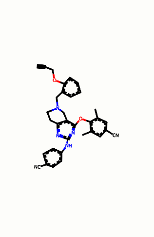 C#CCOc1ccccc1CN1CCc2nc(Nc3ccc(C#N)cc3)nc(Oc3c(C)cc(C#N)cc3C)c2C1